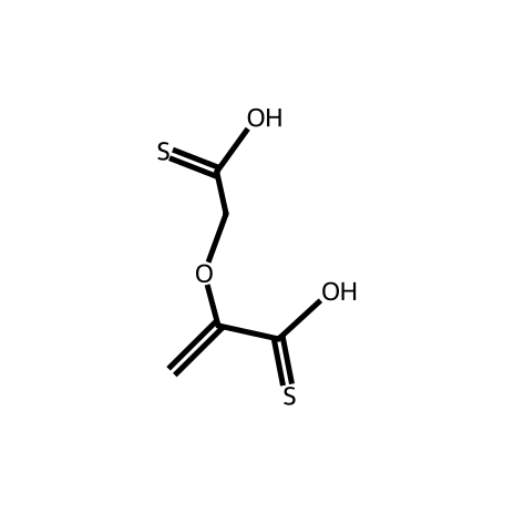 C=C(OCC(O)=S)C(O)=S